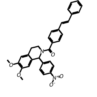 COc1cc2c(cc1OC)C(c1ccc([N+](=O)[O-])cc1)N(C(=O)c1ccc(C=Cc3ccccc3)cc1)CC2